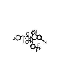 Cc1c(-c2ccnn2-c2ccc(C#N)cc2)n(C(=O)NCC2CCN(C)CC2)c(=O)n1-c1cccc(C(F)(F)F)c1